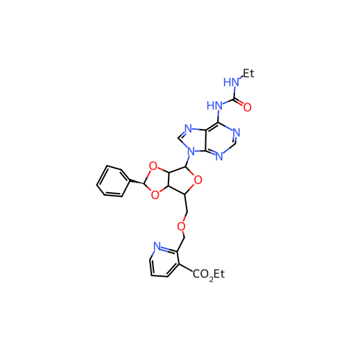 CCNC(=O)Nc1ncnc2c1ncn2C1OC(COCc2ncccc2C(=O)OCC)C2O[C@@H](c3ccccc3)OC21